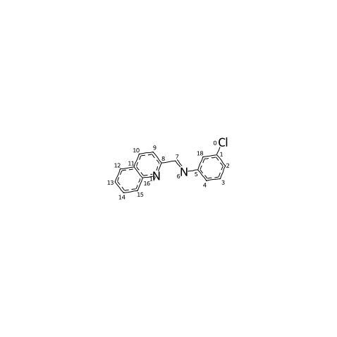 Clc1cccc(N=Cc2ccc3ccccc3n2)c1